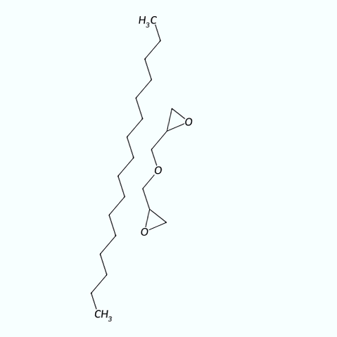 C(OCC1CO1)C1CO1.CCCCCCCCCCCCCCCC